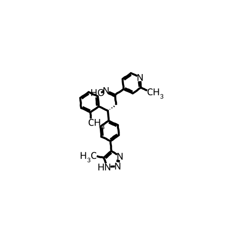 Cc1cc(/C(C[C@H](c2ccc(-c3nn[nH]c3C)cc2)c2ccccc2C)=N/O)ccn1